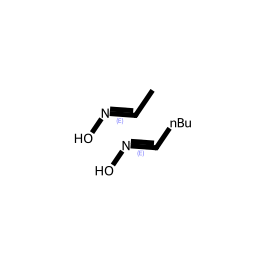 C/C=N/O.CCCC/C=N/O